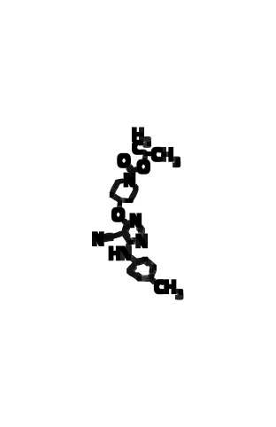 Cc1ccc(Nc2ncnc(OC3CCN(C(=O)OC(C)C)CC3)c2C#N)cc1